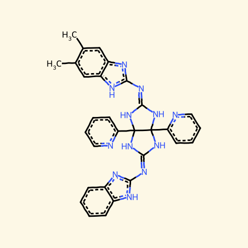 Cc1cc2nc(N=C3NC4(c5ccccn5)NC(=Nc5nc6ccccc6[nH]5)NC4(c4ccccn4)N3)[nH]c2cc1C